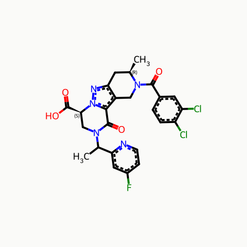 CC(c1cc(F)ccn1)N1C[C@@H](C(=O)O)n2nc3c(c2C1=O)CN(C(=O)c1ccc(Cl)c(Cl)c1)[C@H](C)C3